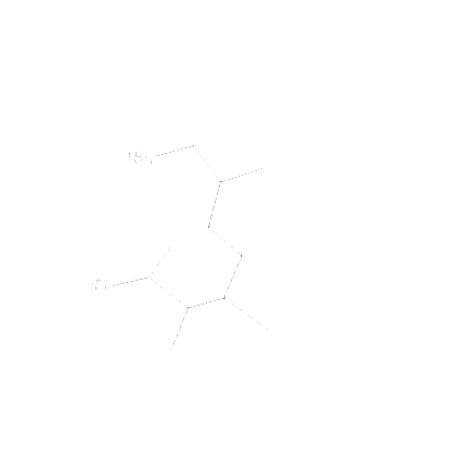 [CH2]C(CCC(C)CC(C)(C)C)C(C)C(C)C(C)C